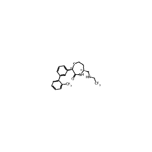 O=C1N[C@H](CNCC(F)(F)F)CCS[C@@H]1c1cccc(-c2ccccc2C(F)(F)F)c1